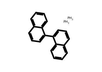 P.P.c1ccc2c(-c3cccc4ccccc34)cccc2c1